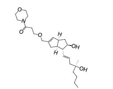 CCCC[C@](C)(O)C/C=C/[C@@H]1[C@H]2CC(COCCC(=O)N3CCOCC3)=C[C@H]2C[C@H]1O